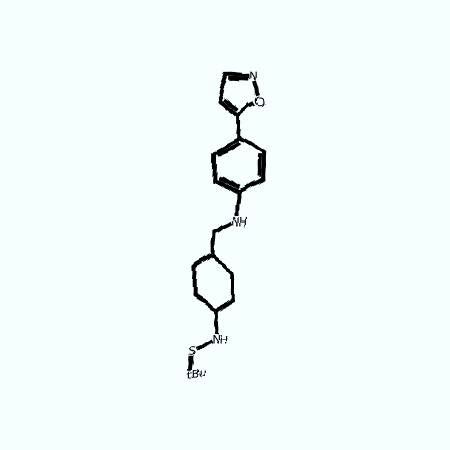 CC(C)(C)SNC1CCC(CNc2ccc(-c3ccno3)cc2)CC1